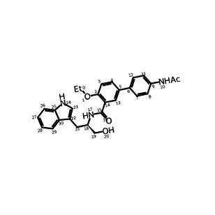 CCOc1ccc(-c2ccc(NC(C)=O)cc2)cc1C(=O)N[C@@H](CO)Cc1c[nH]c2ccccc12